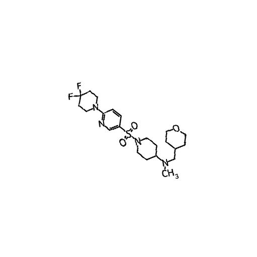 CN(CC1CCOCC1)C1CCN(S(=O)(=O)c2ccc(N3CCC(F)(F)CC3)nc2)CC1